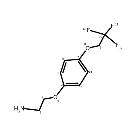 NCCOc1ccc(OCC(F)(F)F)cc1